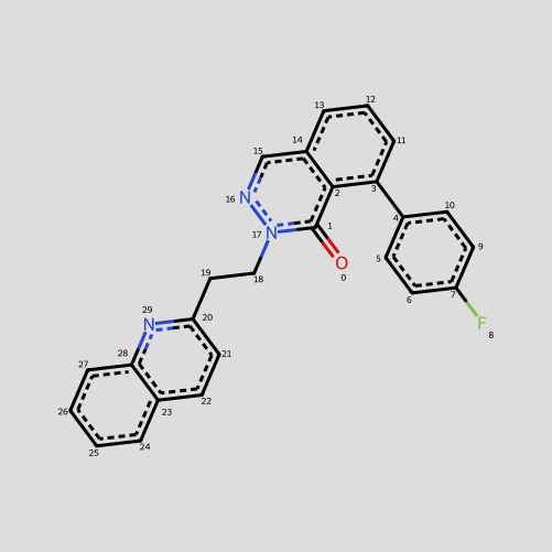 O=c1c2c(-c3ccc(F)cc3)cccc2cnn1CCc1ccc2ccccc2n1